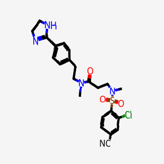 CN(CCc1ccc(C2=NCCN2)cc1)C(=O)CCN(C)S(=O)(=O)c1ccc(C#N)cc1Cl